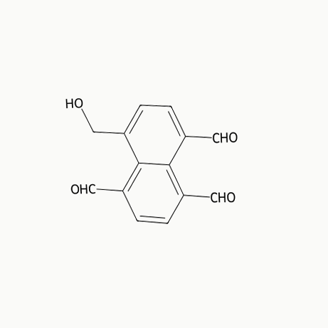 O=Cc1ccc(C=O)c2c(CO)ccc(C=O)c12